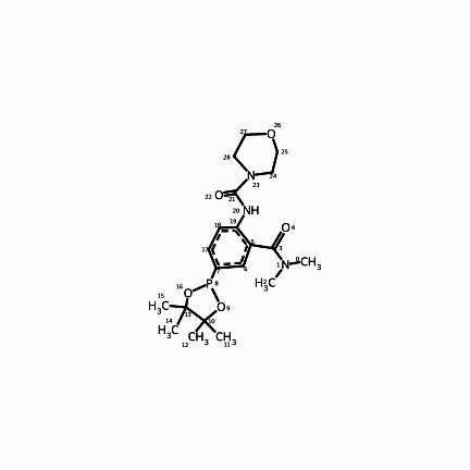 CN(C)C(=O)c1cc(P2OC(C)(C)C(C)(C)O2)ccc1NC(=O)N1CCOCC1